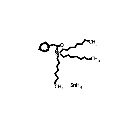 CCCCCCC[CH2][Sn]([CH2]CCCCCCC)([CH2]CCCCCCC)[O]C(=O)Cc1ccccc1.[SnH4]